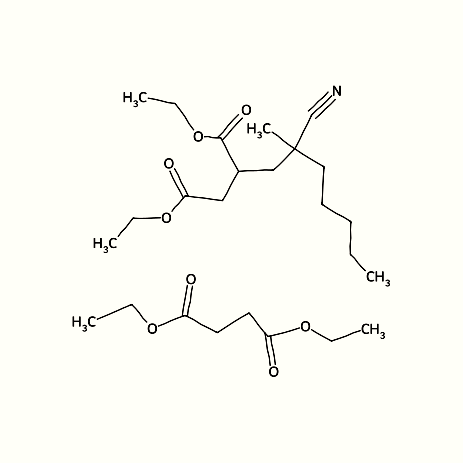 CCCCCC(C)(C#N)CC(CC(=O)OCC)C(=O)OCC.CCOC(=O)CCC(=O)OCC